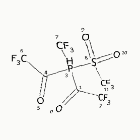 O=C(C(F)(F)F)[PH](C(=O)C(F)(F)F)(C(F)(F)F)S(=O)(=O)C(F)(F)F